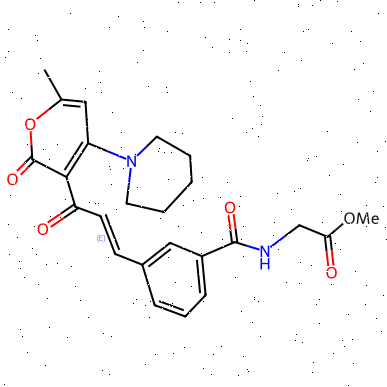 COC(=O)CNC(=O)c1cccc(/C=C/C(=O)c2c(N3CCCCC3)cc(C)oc2=O)c1